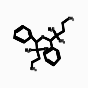 CCCC(C)(C)C(OC(c1ccccc1)C(C)(C)CCC)c1ccccc1